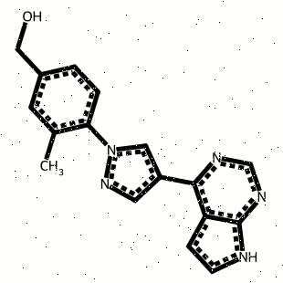 Cc1cc(CO)ccc1-n1cc(-c2ncnc3[nH]ccc23)cn1